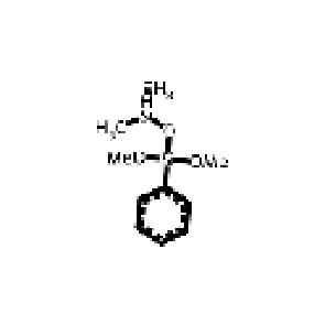 CO[Si](OC)(O[SiH](C)C)c1ccccc1